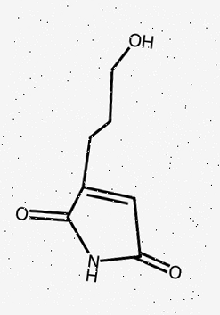 O=C1C=C(CCCO)C(=O)N1